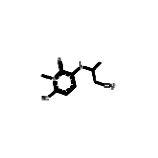 CC(CC(=O)O)Nc1ccc(C#N)n(C)c1=O